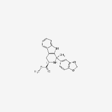 COC(=O)[C@H]1Cc2c([nH]c3ccccc23)C(C)(c2ccc3c(c2)OCO3)N1